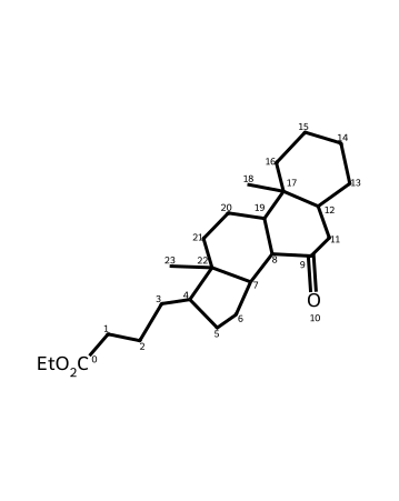 CCOC(=O)CCCC1CCC2C3C(=O)CC4CCCCC4(C)C3CCC12C